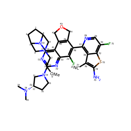 COCCN1CC2CCC(C1)N2c1nc(N2CC[C@H](N(C)C)C2)nc2c(F)c(-c3ncc(F)c4sc(N)c(C#N)c34)c3c(c12)COC3